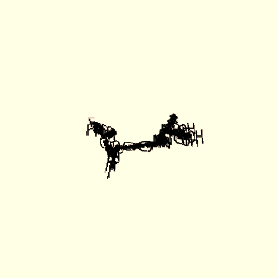 CCCCCCN(Cc1cn(CCOCCOCCOC(=O)c2nc(C(F)(F)F)n3c2CN(C(=O)C[C@@H](Cc2cc(F)c(F)cc2F)NC(=O)OC(C)(C)C)CC3)nn1)CC(O)C(O)C(O)C(O)CO